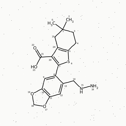 CC1(C)CCc2sc(-c3cc4c(cc3CNN)OCO4)c(C(=O)O)c2C1